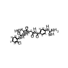 N=C(N)Nc1ccc(C(=O)NC(=O)CNC(=O)[C@H](CO)NC(=O)Nc2ccccc2Cl)cc1